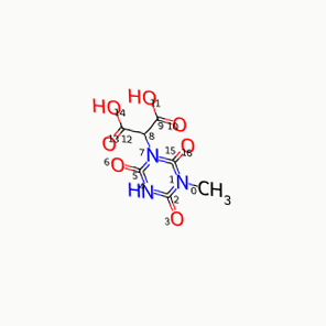 Cn1c(=O)[nH]c(=O)n(C(C(=O)O)C(=O)O)c1=O